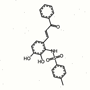 Cc1ccc(S(=O)(=O)Nc2c(C=CC(=O)c3ccccc3)ccc(O)c2O)cc1